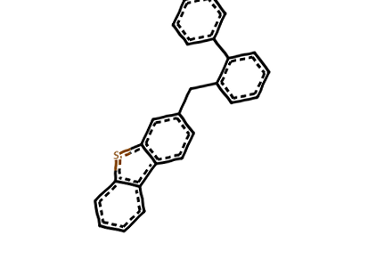 c1ccc(-c2ccccc2Cc2ccc3c(c2)sc2ccccc23)cc1